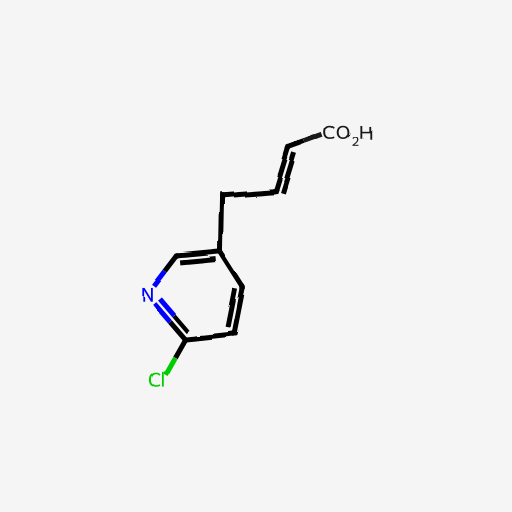 O=C(O)C=CCc1ccc(Cl)nc1